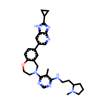 Cc1c(NCCC2CCCN2C)ncnc1N1CCOc2ccc(-c3cnc4nc(C5CC5)[nH]c4c3)cc2C1